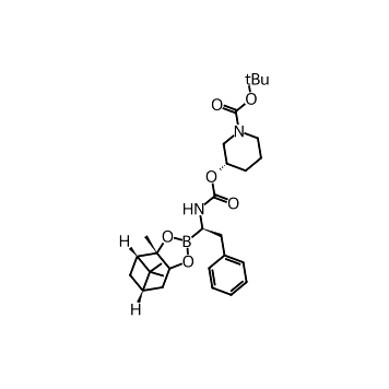 CC(C)(C)OC(=O)N1CCC[C@H](OC(=O)N[C@@H](Cc2ccccc2)B2OC3C[C@@H]4C[C@@H](C4(C)C)[C@]3(C)O2)C1